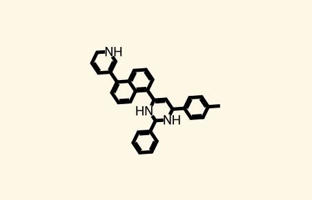 Cc1ccc(C2C=C(c3cccc4c(C5=CNCC=C5)cccc34)NC(c3ccccc3)N2)cc1